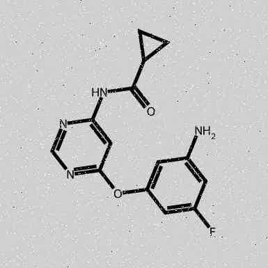 Nc1cc(F)cc(Oc2cc(NC(=O)C3CC3)ncn2)c1